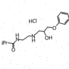 CC(C)C(=O)NCCNCC(O)COc1ccccc1.Cl